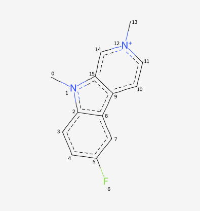 Cn1c2ccc(F)cc2c2cc[n+](C)cc21